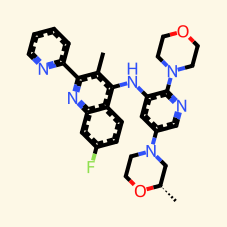 Cc1c(-c2ccccn2)nc2cc(F)ccc2c1Nc1cc(N2CCO[C@@H](C)C2)cnc1N1CCOCC1